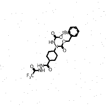 CC(C)(C)OC(=O)NN(C(=O)OCc1ccccc1)C1CCC(C(=O)NNC(=O)C(F)(F)F)CC1